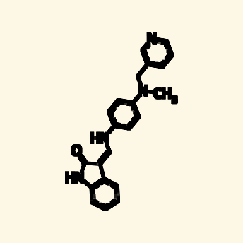 CN(Cc1cccnc1)c1ccc(NC=C2C(=O)Nc3ccccc32)cc1